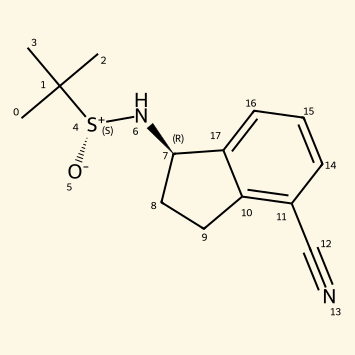 CC(C)(C)[S@@+]([O-])N[C@@H]1CCc2c(C#N)cccc21